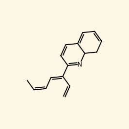 C=C/C(=C\C=C/C)C1=NC2CC=CC=C2C=C1